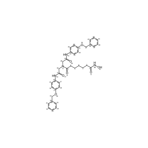 O=C(CCCCCC(=O)N(CC(=O)Nc1ccc(OCc2ccccc2)cc1)CC(=O)Nc1ccc(OCc2ccccc2)cc1)NO